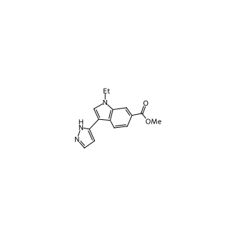 CCn1cc(-c2ccn[nH]2)c2ccc(C(=O)OC)cc21